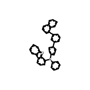 c1ccc(N(c2ccc(-c3cccc(-c4cccc5ccccc45)c3)cc2)c2cccc3c2oc2ccccc23)cc1